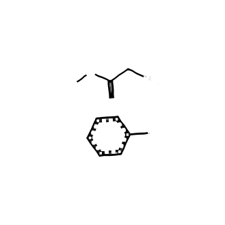 COC(=O)CN.Cc1ccccc1